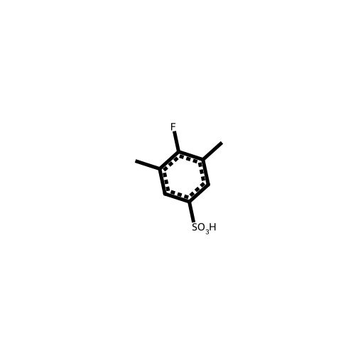 Cc1cc(S(=O)(=O)O)cc(C)c1F